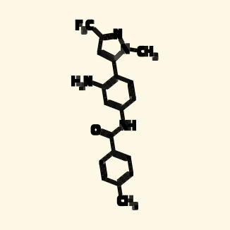 Cc1ccc(C(=O)Nc2ccc(-c3cc(C(F)(F)F)nn3C)c(N)c2)cc1